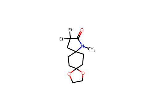 CCC1(CC)CC2(CCC3(CC2)OCCO3)N(C)C1=O